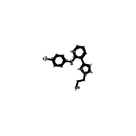 OCCn1nnc(-c2cccnc2Nc2ccc(C(F)(F)F)cc2)n1